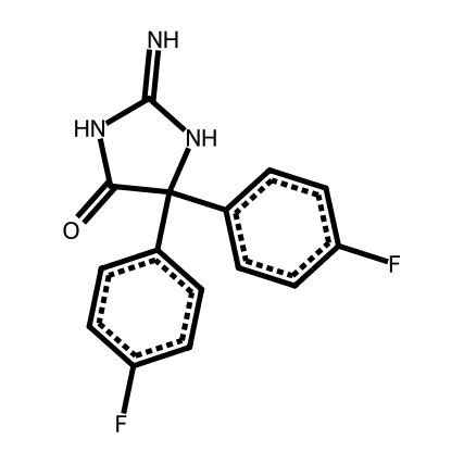 N=C1NC(=O)C(c2ccc(F)cc2)(c2ccc(F)cc2)N1